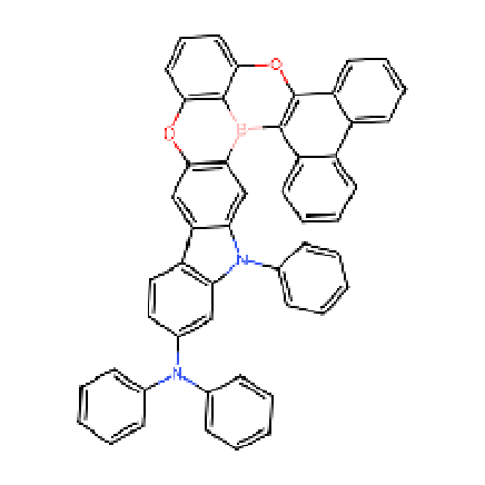 c1ccc(N(c2ccccc2)c2ccc3c4cc5c(cc4n(-c4ccccc4)c3c2)B2c3c(cccc3Oc3c2c2ccccc2c2ccccc32)O5)cc1